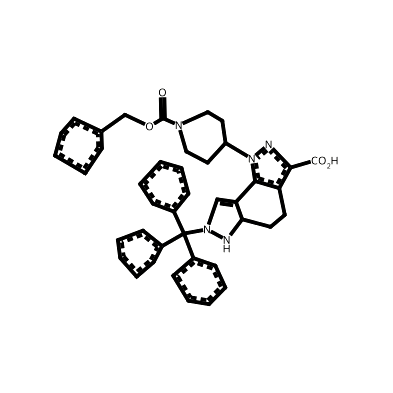 O=C(O)c1nn(C2CCN(C(=O)OCc3ccccc3)CC2)c2c1CCC1NN(C(c3ccccc3)(c3ccccc3)c3ccccc3)C=C21